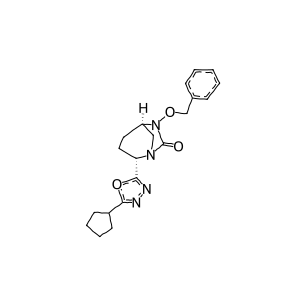 O=C1N2C[C@@H](CC[C@H]2c2nnc(C3CCCC3)o2)N1OCc1ccccc1